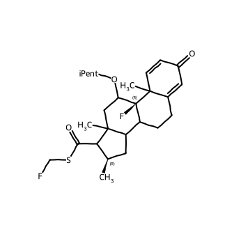 CCCC(C)OC1CC2(C)C(C[C@@H](C)C2C(=O)SCF)C2CCC3=CC(=O)C=CC3(C)[C@@]12F